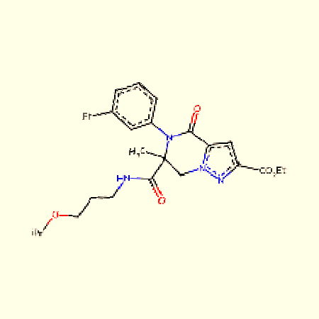 CCOC(=O)c1cc2n(n1)CC(C)(C(=O)NCCCOC(C)C)N(c1cccc(CC)c1)C2=O